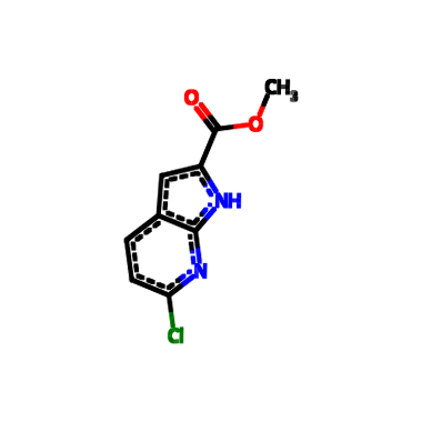 COC(=O)c1cc2ccc(Cl)nc2[nH]1